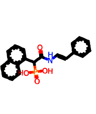 O=C(N/C=C/c1ccccc1)C(c1cccc2ccccc12)P(=O)(O)O